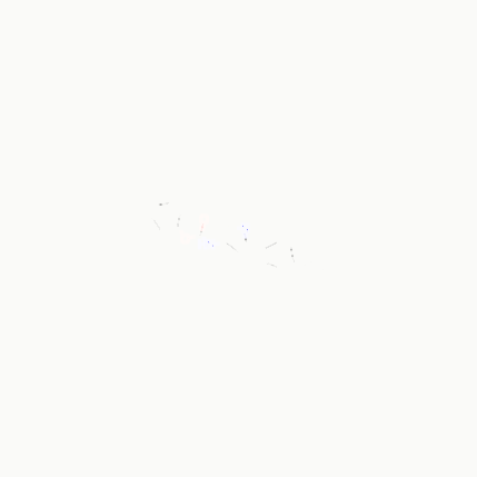 Cc1ccc(-c2cc(NC(=O)Oc3ccccc3)sn2)cc1